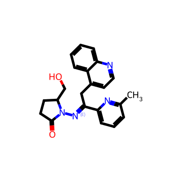 Cc1cccc(/C(Cc2ccnc3ccccc23)=N/N2C(=O)CCC2CO)n1